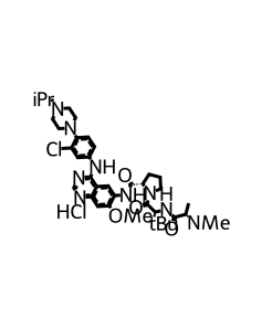 CN[C@@H](C)C(=O)N[C@H](C(=O)N1CCC[C@H]1C(=O)Nc1cc2c(Nc3ccc(N4CCN(C(C)C)CC4)c(Cl)c3)ncnc2cc1OC)C(C)(C)C.Cl